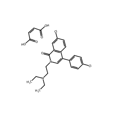 CCN(CC)CCn1cc(-c2ccc(Cl)cc2)c2ccc(Cl)cc2c1=O.O=C(O)/C=C\C(=O)O